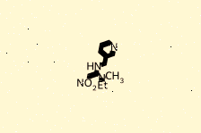 CCN(C)C(=C[N+](=O)[O-])NCc1cccnc1